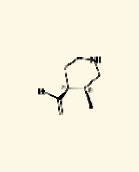 C=C(CC)[C@H]1CCNC[C@H]1C